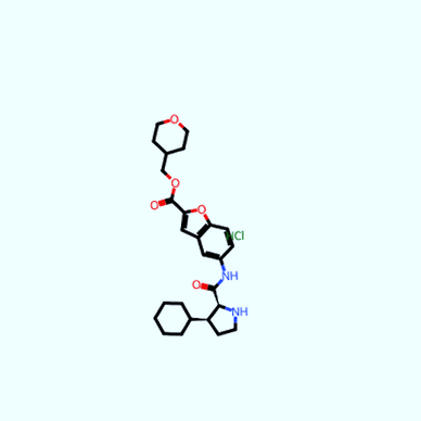 Cl.O=C(OCC1CCOCC1)c1cc2cc(NC(=O)[C@H]3NCC[C@H]3C3CCCCC3)ccc2o1